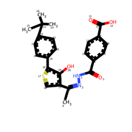 CC(=NNC(=O)c1ccc(C(=O)O)cc1)c1csc(-c2ccc(C(C)(C)C)cc2)c1O